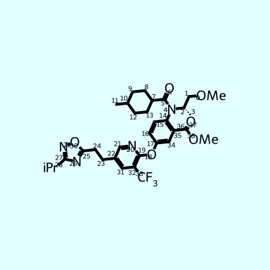 COC[C@H](C)N(C(=O)C1CCC(C)CC1)c1ccc(Oc2ncc(CCc3nc(C(C)C)no3)cc2C(F)(F)F)cc1C(=O)OC